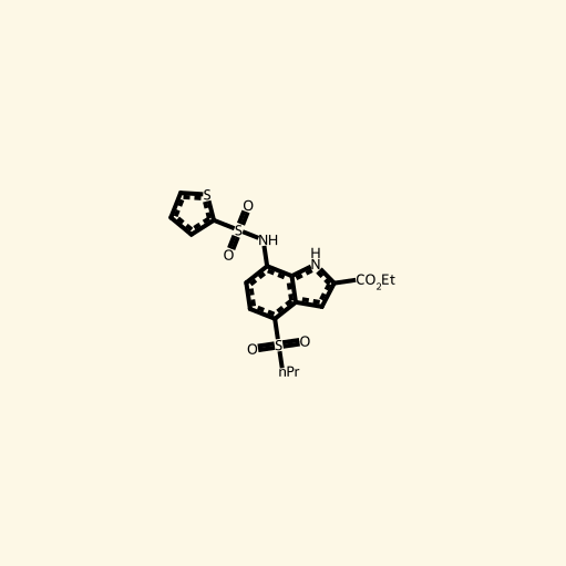 CCCS(=O)(=O)c1ccc(NS(=O)(=O)c2cccs2)c2[nH]c(C(=O)OCC)cc12